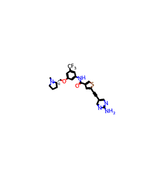 CN1CCC[C@H]1COc1cc(NC(=O)c2csc(C#Cc3cnc(N)nc3)c2)cc(C(F)(F)F)c1